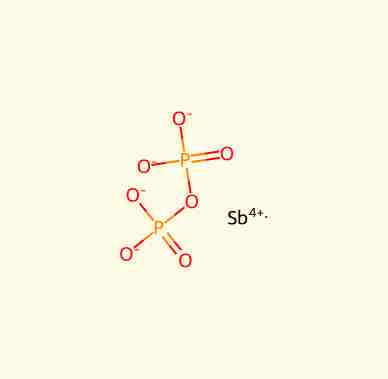 O=P([O-])([O-])OP(=O)([O-])[O-].[Sb+4]